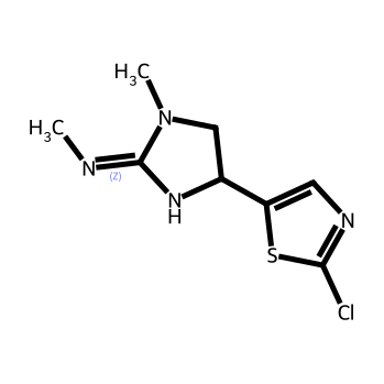 C/N=C1/NC(c2cnc(Cl)s2)CN1C